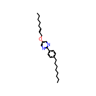 CCCCCC=CCOc1cnc(-c2ccc(CCCCCCCC)cc2)nc1